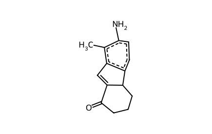 Cc1c(N)ccc2c1C=C1C(=O)CCCC12